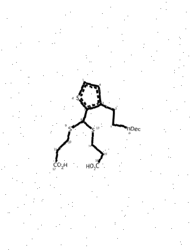 CCCCCCCCCCCCc1ccsc1C(SCCC(=O)O)SCCC(=O)O